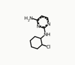 Nc1ccnc(NC2CCCCC2Cl)n1